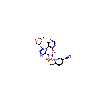 COc1ncnc(OC)c1-n1c(NS(=O)(=O)[C@@H](C)[C@H](C)c2ccc(C#N)cn2)nnc1[C@@H]1CCOC1